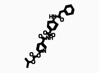 CC(C)OC(=O)Oc1ccc(C(=O)NS(=O)(=O)c2ccc(NC(=O)Cc3ccccc3)cc2)cn1